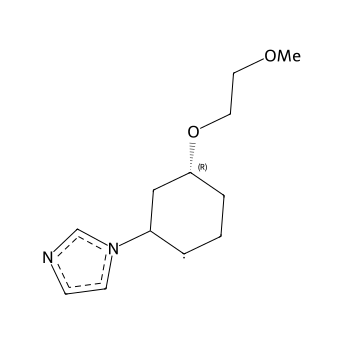 COCCO[C@@H]1CC[CH]C(n2ccnc2)C1